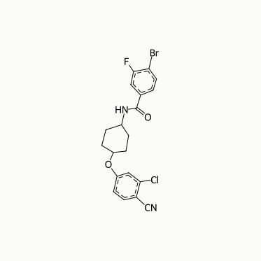 N#Cc1ccc(OC2CCC(NC(=O)c3ccc(Br)c(F)c3)CC2)cc1Cl